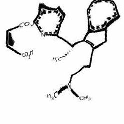 C[C@@H](C1=C(CCN(C)C)Cc2ccccc21)c1ccccn1.O=C(O)/C=C\C(=O)O